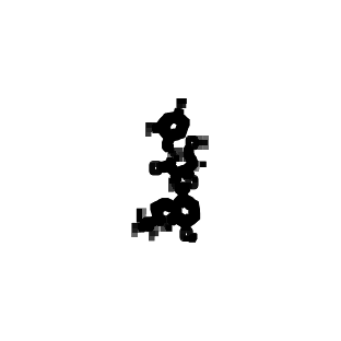 COc1ccc(-c2nc(C(=O)NCc3ccc(F)cc3F)c([C@@H](C)CO)o2)c2ccc(C(F)(F)F)nc12